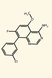 COc1cc(F)c(-c2cccc(Cl)c2)c2ncnc(N)c12